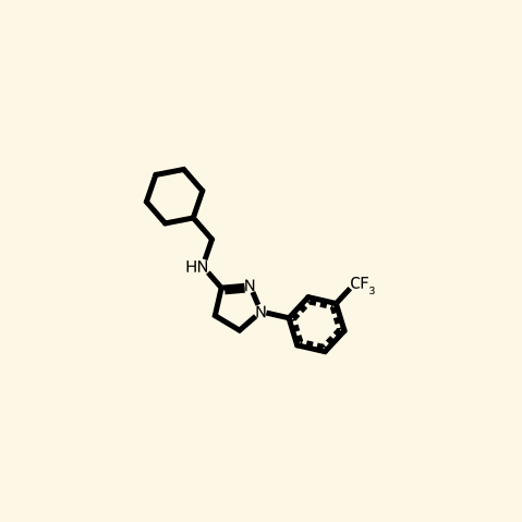 FC(F)(F)c1cccc(N2CCC(NCC3CCCCC3)=N2)c1